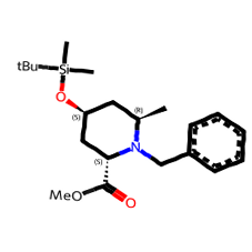 COC(=O)[C@@H]1C[C@@H](O[Si](C)(C)C(C)(C)C)C[C@@H](C)N1Cc1ccccc1